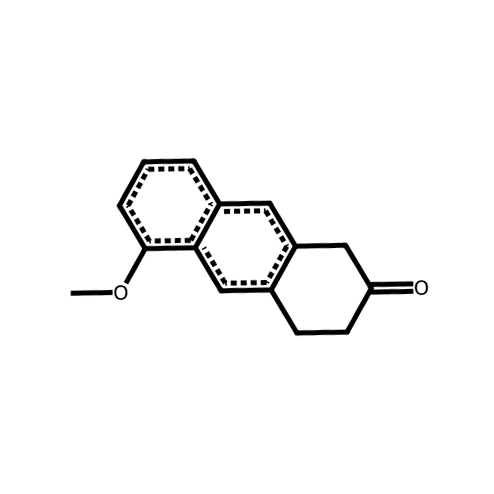 COc1cccc2cc3c(cc12)CCC(=O)C3